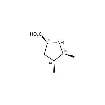 C[C@@H]1N[C@H](C(=O)O)C[C@@H]1C